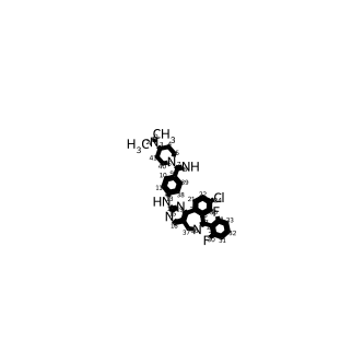 CN(C)C1CCN(C(=N)c2ccc(Nc3ncc4c(n3)-c3ccc(Cl)cc3C(c3c(F)cccc3F)=NC4)cc2)CC1